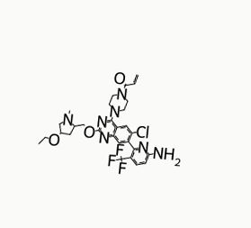 C=CC(=O)N1CCN(c2nc(OCC3CC(OCC)CN3C)nc3cc(-c4nc(N)ccc4C(F)(F)F)c(Cl)cc23)CC1